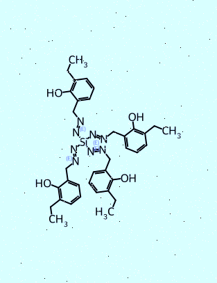 CCc1cccc(C/N=N/[Si](/N=N/Cc2cccc(CC)c2O)(/N=N/Cc2cccc(CC)c2O)/N=N/Cc2cccc(CC)c2O)c1O